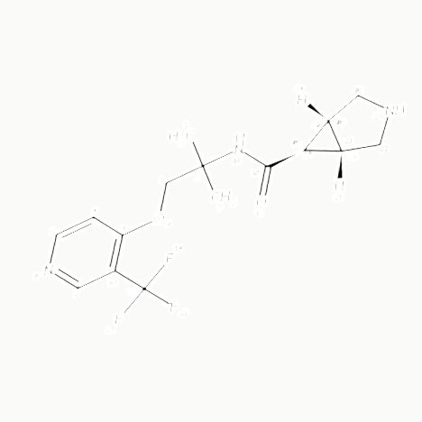 CC(C)(COc1ccncc1C(F)(F)F)NC(=O)[C@H]1[C@@H]2CNC[C@@H]21